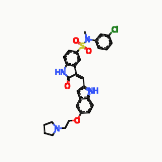 CN(c1cccc(Cl)c1)S(=O)(=O)c1ccc2c(c1)C(=Cc1cc3cc(OCCN4CCCC4)ccc3[nH]1)C(=O)N2